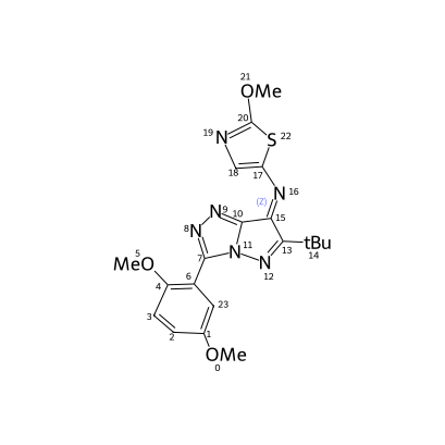 COc1ccc(OC)c(-c2nnc3n2N=C(C(C)(C)C)/C3=N/c2cnc(OC)s2)c1